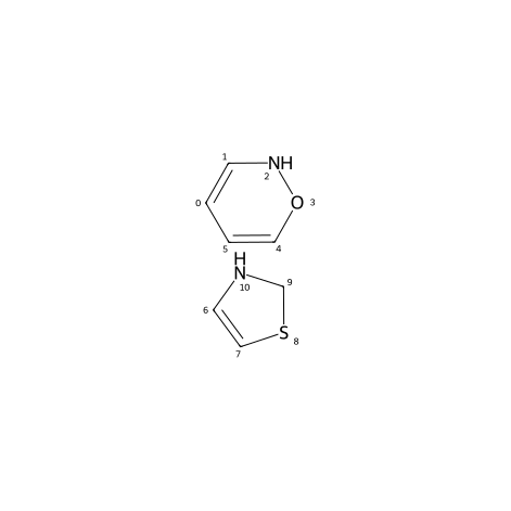 C1=CNOC=C1.C1=CSCN1